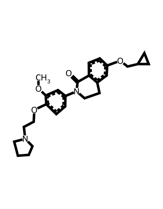 COc1cc(N2CCc3cc(OCC4CC4)ccc3C2=O)ccc1OCCN1CCCC1